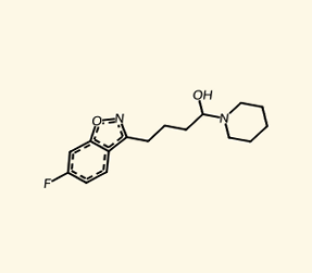 OC(CCCc1noc2cc(F)ccc12)N1CCCCC1